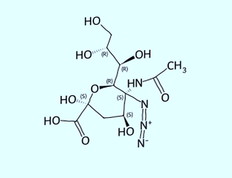 CC(=O)N[C@]1(N=[N+]=[N-])[C@@H](O)C[C@@](O)(C(=O)O)O[C@H]1[C@H](O)[C@H](O)CO